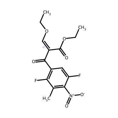 CCO/C=C(\C(=O)OCC)C(=O)c1cc(F)c([N+](=O)[O-])c(C)c1F